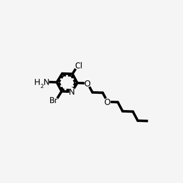 CCCCCOCCOc1nc(Br)c(N)cc1Cl